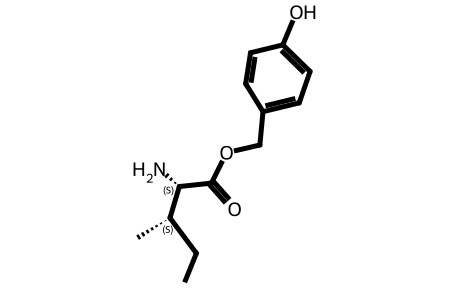 CC[C@H](C)[C@H](N)C(=O)OCc1ccc(O)cc1